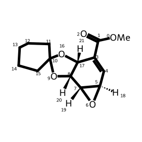 COC(=O)C1=C[C@H]2O[C@@H]2[C@@H]2OC3(CCCCC3)O[C@H]12